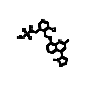 CCCCS(=O)(=O)NCc1cncc(Cl)c1COc1cccc2c(-c3ccnn3C)cc(C)nc12